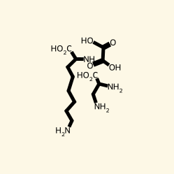 NCC(N)C(=O)O.NCCCCCCC(N)C(=O)O.O=C(O)C(=O)O